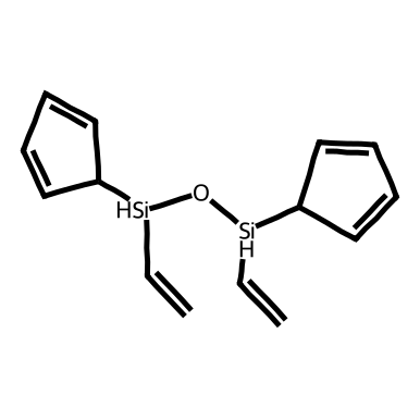 C=C[SiH](O[SiH](C=C)C1C=CC=C1)C1C=CC=C1